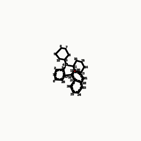 c1ccc(P(C2CCCCC2)C2CCCCC2)c(-c2cccc3ccccc23)c1